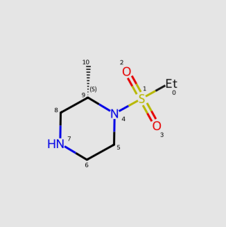 CCS(=O)(=O)N1CCNC[C@@H]1C